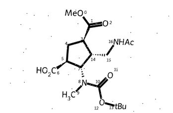 COC(=O)[C@@H]1C[C@H](C(=O)O)[C@@H](N(C)C(=O)OC(C)(C)C)[C@H]1CNC(C)=O